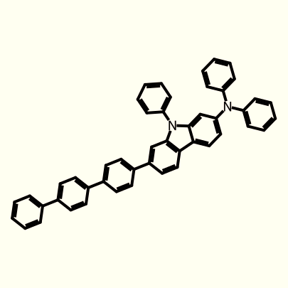 c1ccc(-c2ccc(-c3ccc(-c4ccc5c6ccc(N(c7ccccc7)c7ccccc7)cc6n(-c6ccccc6)c5c4)cc3)cc2)cc1